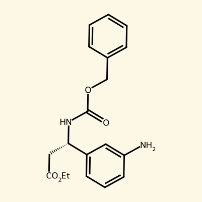 CCOC(=O)C[C@H](NC(=O)OCc1ccccc1)c1cccc(N)c1